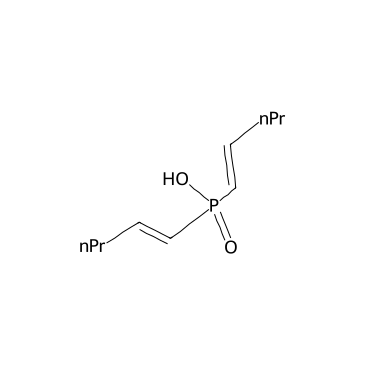 CCCC=CP(=O)(O)C=CCCC